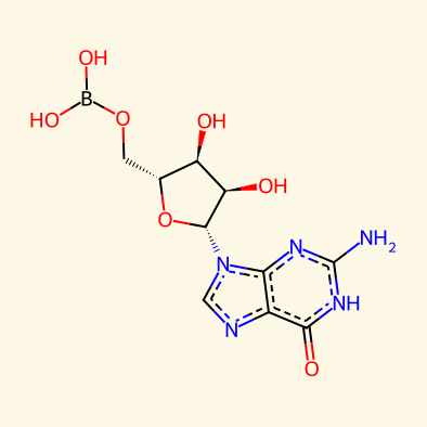 Nc1nc2c(ncn2[C@@H]2O[C@H](COB(O)O)[C@@H](O)[C@H]2O)c(=O)[nH]1